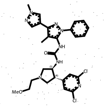 COCCN1C[C@@H](NC(=O)Nc2c(C)c(-c3cnn(C)c3)nn2-c2ccccc2)[C@H](c2cc(Cl)nc(Cl)c2)C1